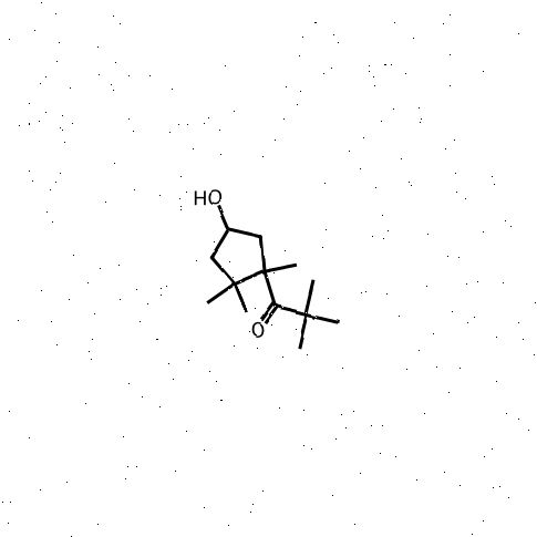 CC(C)(C)C(=O)C1(C)CC(O)CC1(C)C